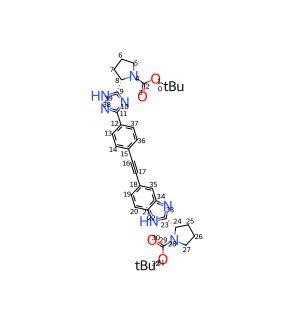 CC(C)(C)OC(=O)N1CCC[C@H]1c1nc(-c2ccc(C#Cc3ccc4[nH]c([C@@H]5CCCN5C(=O)OC(C)(C)C)nc4c3)cc2)n[nH]1